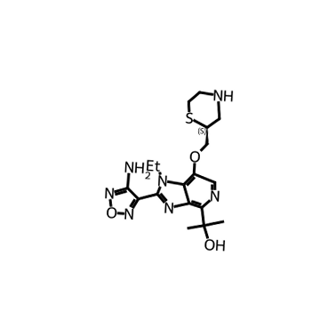 CCn1c(-c2nonc2N)nc2c(C(C)(C)O)ncc(OC[C@@H]3CNCCS3)c21